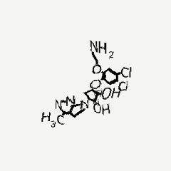 Cc1ncnc2c1ccn2C1CC(Oc2cc(Cl)c(Cl)cc2OCCN)[C@@H](O)[C@H]1O